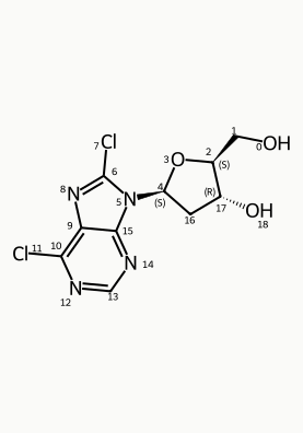 OC[C@@H]1O[C@H](n2c(Cl)nc3c(Cl)ncnc32)C[C@H]1O